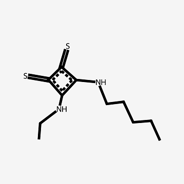 CCCCCNc1c(NCC)c(=S)c1=S